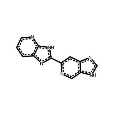 c1cnc2[nH]c(-c3cc4nc[nH]c4cn3)nc2c1